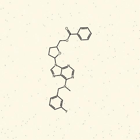 CN(Cc1cccc(F)c1)c1ncnc2c1ncn2C1CCC(COC(=O)c2ccccc2)O1